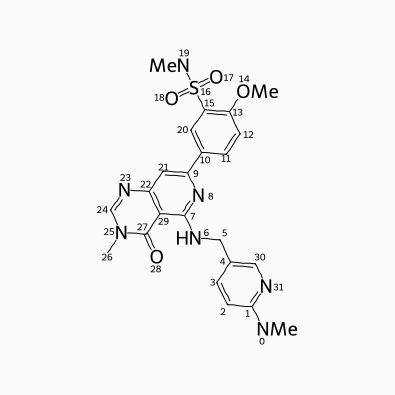 CNc1ccc(CNc2nc(-c3ccc(OC)c(S(=O)(=O)NC)c3)cc3ncn(C)c(=O)c23)cn1